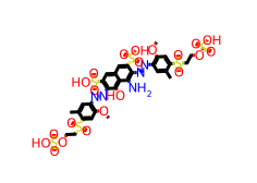 COc1cc(S(=O)(=O)CCOS(=O)(=O)O)c(C)cc1/N=N/c1c(S(=O)(=O)O)cc2cc(S(=O)(=O)O)c(/N=N/c3cc(C)c(S(=O)(=O)CCOS(=O)(=O)O)cc3OC)c(O)c2c1N